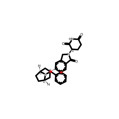 O=C1CC[C@@H](N2Cc3cc([C@@H]4C[C@H]5CC[C@@H](C4)N5Cc4ccccc4)ccc3C2=O)C(=O)N1